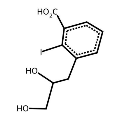 O=C(O)c1cccc(CC(O)CO)c1I